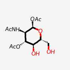 CC(=O)N[C@H]1[C@@H](OC(C)=O)O[C@H](CO)[C@@H](O)[C@@H]1OC(C)=O